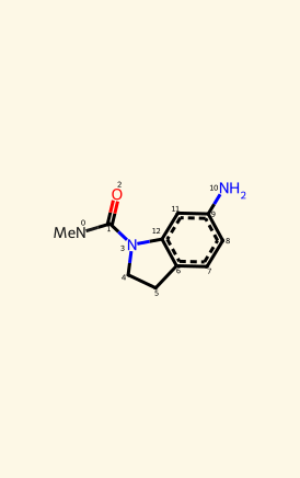 CNC(=O)N1CCc2ccc(N)cc21